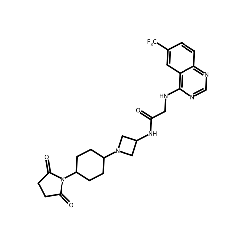 O=C(CNc1ncnc2ccc(C(F)(F)F)cc12)NC1CN(C2CCC(N3C(=O)CCC3=O)CC2)C1